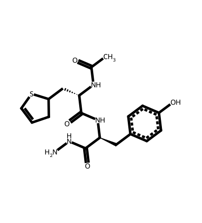 CC(=O)N[C@@H](CC1CC=CS1)C(=O)N[C@@H](Cc1ccc(O)cc1)C(=O)NN